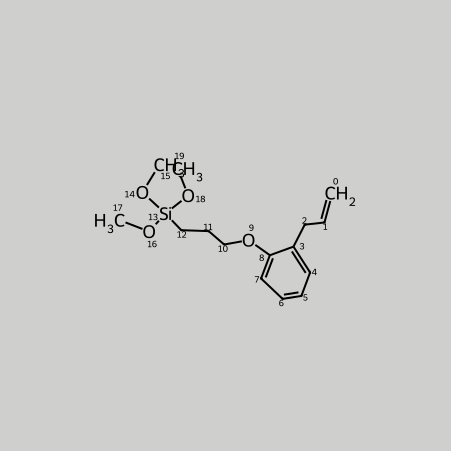 C=CCc1ccccc1OCCC[Si](OC)(OC)OC